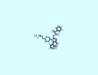 NCCN1CCC(n2c(CNC(=O)c3cccnc3)nc3cnc4[nH]ccc4c32)CC1